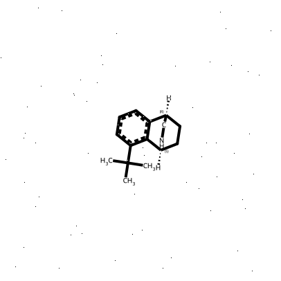 CC(C)(C)c1cccc2c1[C@@H]1CC[C@H]2CN1